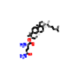 CC(C)=CCC[C@@H](C)[C@H]1CC[C@@]2(C)C3=C(CC[C@]12C)[C@@]1(C)CC[C@H](OC(=O)[C@@H](N)CCC(N)=O)C(C)(C)C1CC3